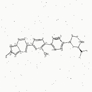 CC(C)[C@H]1CN(c2ncc(-c3ccc(-c4ccc5nn(C)cc5c4)cc3O)nn2)CCN1